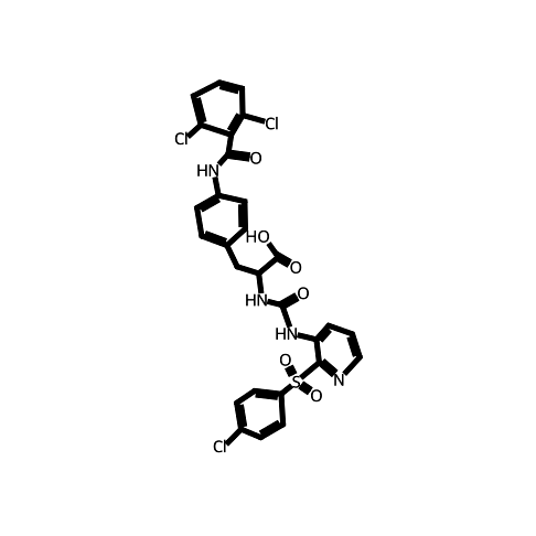 O=C(Nc1cccnc1S(=O)(=O)c1ccc(Cl)cc1)NC(Cc1ccc(NC(=O)c2c(Cl)cccc2Cl)cc1)C(=O)O